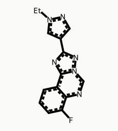 CCn1cc(-c2nc3c4cccc(F)c4ncn3n2)cn1